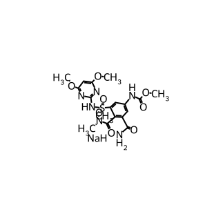 COC(=O)Nc1cc(C(N)=O)c(C(=O)N(C)C)c(S(=O)(=O)Nc2nc(OC)cc(OC)n2)c1.[NaH]